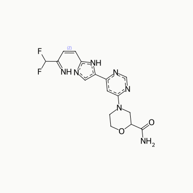 N=C(/C=C\c1ncc(-c2cc(N3CCOC(C(N)=O)C3)ncn2)[nH]1)C(F)F